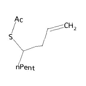 C=CCC(CCCCC)SC(C)=O